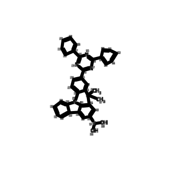 CC1(C)c2cc(-c3nc(-c4ccccc4)nc(-c4ccccc4)n3)ccc2-n2c3ccccc3c3cc(B(O)O)cc1c32